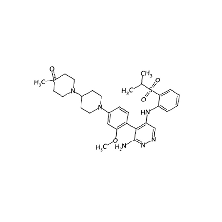 COc1cc(N2CCC(N3CCP(C)(=O)CC3)CC2)ccc1-c1c(Nc2ccccc2S(=O)(=O)C(C)C)cnnc1N